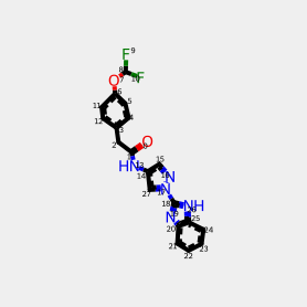 O=C(Cc1ccc(OC(F)F)cc1)Nc1cnn(-c2nc3ccccc3[nH]2)c1